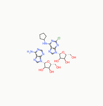 Nc1ncnc2c1ncn2[C@@H]1O[C@H](CO)[C@@H](O)[C@H]1O.OC[C@H]1O[C@@H](n2cnc3c(NC4CCCC4)nc(Cl)nc32)[C@H](O)[C@@H]1O